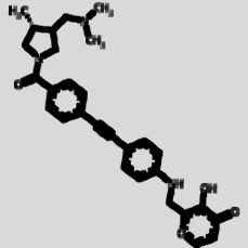 C[C@H]1CN(C(=O)c2ccc(C#Cc3ccc(NCc4occc(=O)c4O)cc3)cc2)CC1CN(C)C